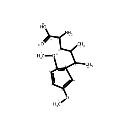 COc1ccc(OC)c(C(C)C(C)CC(N)C(=O)O)c1